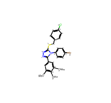 COc1cc(-c2nnc(SCc3ccc(Cl)cc3)n2-c2ccc(Br)cc2)cc(OC)c1OC